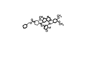 COc1ccc(CN(c2cccc(Cl)c2F)c2ncnc3cc(OC)c(N(C)C4CCN(C(=O)OCc5ccccc5)CC4)cc23)cc1OC